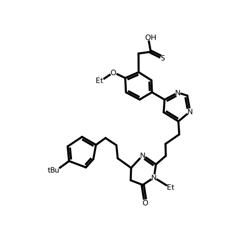 CCOc1ccc(-c2cc(CCCC3=NC(CCCc4ccc(C(C)(C)C)cc4)CC(=O)N3CC)ncn2)cc1CC(O)=S